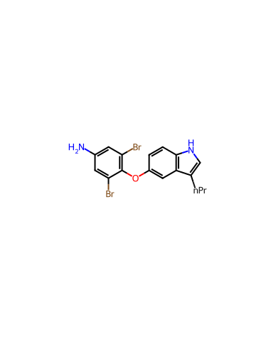 CCCc1c[nH]c2ccc(Oc3c(Br)cc(N)cc3Br)cc12